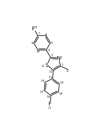 Cc1nc(-c2ccc(F)cc2)sc1-c1ccc(F)cc1